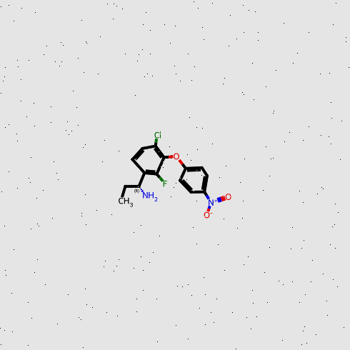 CC[C@@H](N)c1ccc(Cl)c(Oc2ccc([N+](=O)[O-])cc2)c1F